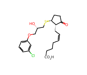 O=C(O)CCC/C=C\C[C@H]1C(=O)CC[C@@H]1SC[C@@H](O)COc1cccc(Cl)c1